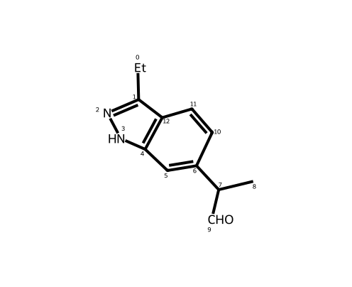 CCc1n[nH]c2cc(C(C)C=O)ccc12